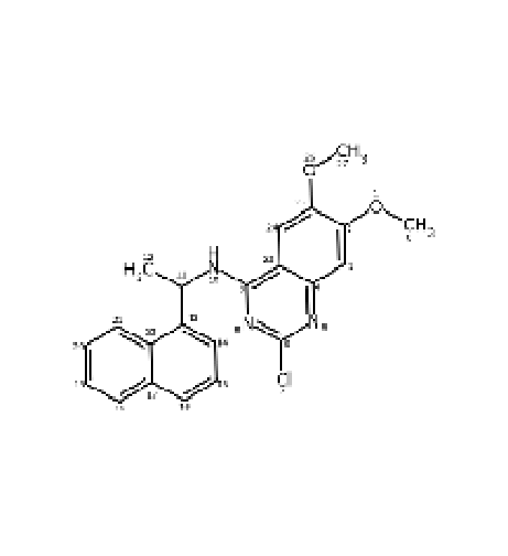 COc1cc2nc(Cl)nc(NC(C)c3cccc4ccccc34)c2cc1OC